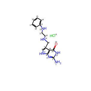 Cl.Nc1nc2[nH]cc(CNCCNc3ccccc3)c2c(=O)[nH]1